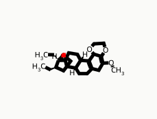 CC[C@@H]1CC23CC[C@@]1(CC)[C@@]2(C)CC[C@@H]1C2=C(CC[C@H]13)CC(OC)=C1OCCOC12